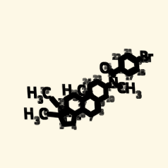 CC1C2CCC3C4CC=C5CC(N(C)C(=O)c6ccc(Br)cc6)CCC5(C)C4CCC32CN1C